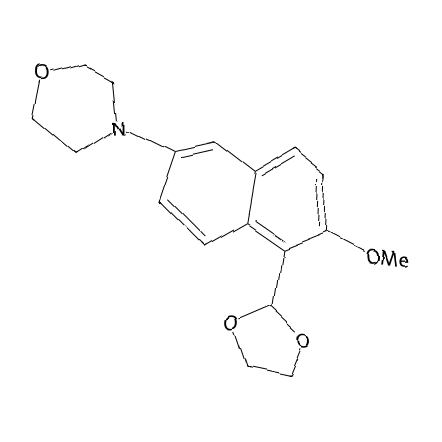 COc1ccc2cc(N3CCOCC3)ccc2c1C1OCCO1